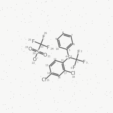 FC(F)(F)[S+](c1ccccc1)c1ccc(Cl)cc1Cl.O=S(=O)([O-])C(F)(F)F